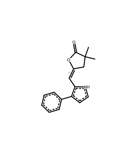 CC1(C)C/C(=C\c2[nH]ccc2-c2ccccc2)OC1=O